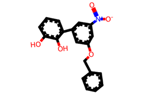 O=[N+]([O-])c1cc(OCc2ccccc2)cc(-c2cccc(O)c2O)c1